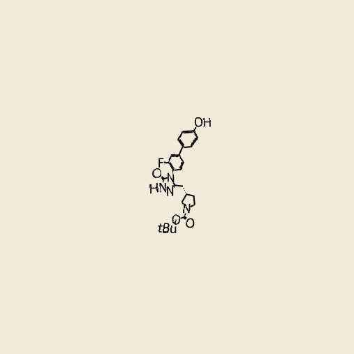 CC(C)(C)OC(=O)N1CC[C@@H](Cc2n[nH]c(=O)n2-c2ccc(-c3ccc(O)cc3)cc2F)C1